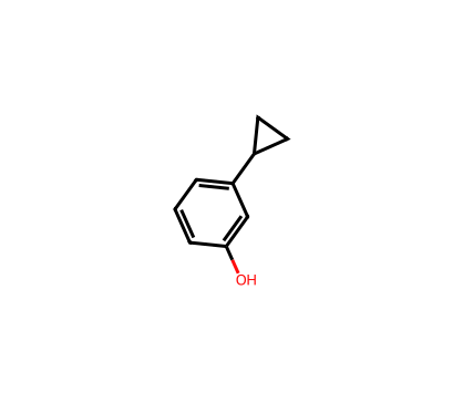 Oc1cccc(C2CC2)c1